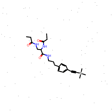 CCC(=O)NCC(NC(=O)CC)C(=O)NCCCc1ccc(C#C[Si](C)(C)C)cc1